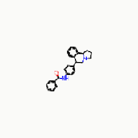 O=C(Nc1ccc(C2CN3CCCC3c3ccccc32)cc1)c1ccccc1